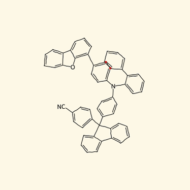 N#Cc1ccc(C2(c3ccc(N(c4ccc(-c5cccc6c5oc5ccccc56)cc4)c4ccccc4-c4ccccc4)cc3)c3ccccc3-c3ccccc32)cc1